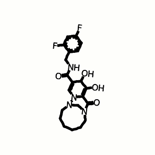 O=C(NCc1ccc(F)cc1F)C1=CN2C(=C(O)C1O)C(=O)N1CCCCCCN2C1